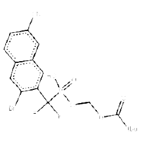 CC(C)(C)C(=O)OCOP(=O)(O)C(F)(F)c1cc2cc(C#N)ccc2cc1Br